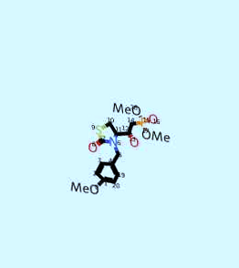 COc1ccc(CN2C(=O)SCC2C(=O)CP(=O)(OC)OC)cc1